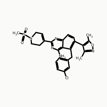 Cc1noc(C)c1-c1ccc2nc(C3=CCN(S(C)(=O)=O)CC3)nc(N)c2c1Cc1cccc(Cl)c1